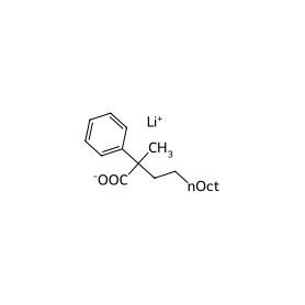 CCCCCCCCCCC(C)(C(=O)[O-])c1ccccc1.[Li+]